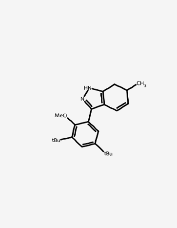 COc1c(-c2n[nH]c3c2C=CC(C)C3)cc(C(C)(C)C)cc1C(C)(C)C